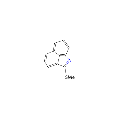 CSC1=Nc2cccc3cccc1c23